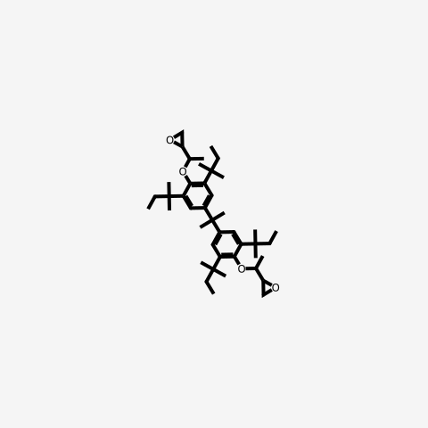 CCC(C)(C)c1cc(C(C)(C)c2cc(C(C)(C)CC)c(OC(C)C3CO3)c(C(C)(C)CC)c2)cc(C(C)(C)CC)c1OC(C)C1CO1